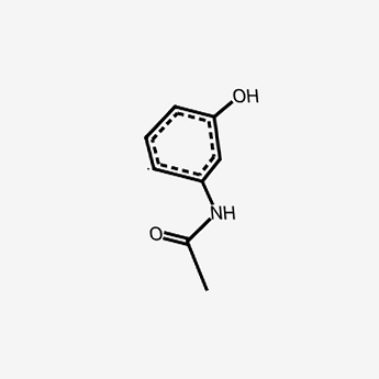 CC(=O)Nc1[c]ccc(O)c1